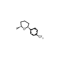 FC(F)(F)c1ccc([C@@H]2CCC[C@H](I)O2)cc1